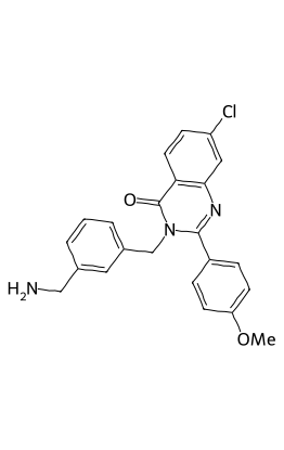 COc1ccc(-c2nc3cc(Cl)ccc3c(=O)n2Cc2cccc(CN)c2)cc1